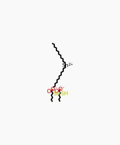 CCCCC(S)C(=O)[O-].CCCCC(S)C(=O)[O-].CCCCCCCCCCC[CH2][Sn+2][CH2]CCCCCCCCCCC